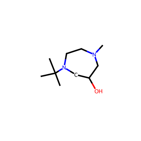 CN1CCN(C(C)(C)C)CC(O)C1